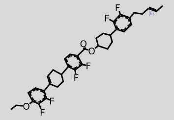 C/C=C/CCc1ccc(C2CCC(OC(=O)c3ccc(C4CC=C(c5ccc(OCC)c(F)c5F)CC4)c(F)c3F)CC2)c(F)c1F